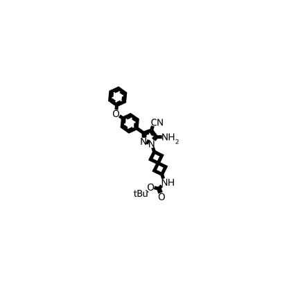 CC(C)(C)OC(=O)NC1CC2(C1)CC(n1nc(-c3ccc(Oc4ccccc4)cc3)c(C#N)c1N)C2